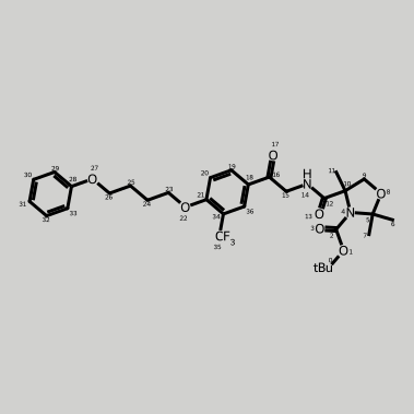 CC(C)(C)OC(=O)N1C(C)(C)OCC1(C)C(=O)NCC(=O)c1ccc(OCCCCOc2ccccc2)c(C(F)(F)F)c1